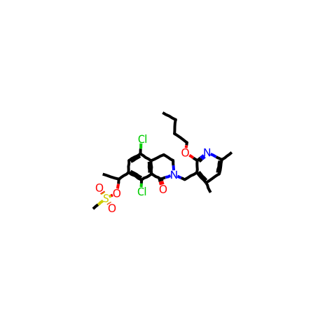 CCCCOc1nc(C)cc(C)c1CN1CCc2c(Cl)cc(C(C)OS(C)(=O)=O)c(Cl)c2C1=O